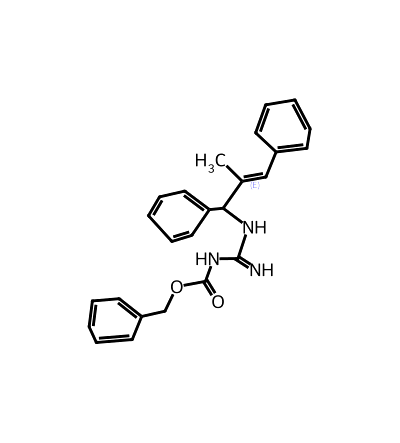 C/C(=C\c1ccccc1)C(NC(=N)NC(=O)OCc1ccccc1)c1ccccc1